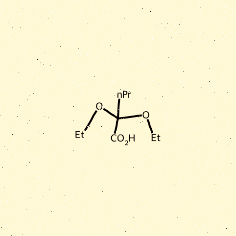 CCCC(OCC)(OCC)C(=O)O